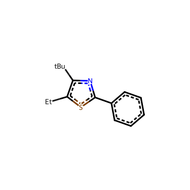 CCc1sc(-c2ccccc2)nc1C(C)(C)C